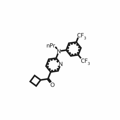 CCCN(c1cc(C(F)(F)F)cc(C(F)(F)F)c1)c1ccc(C(=O)C2CCC2)cn1